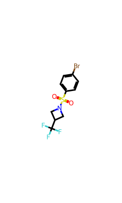 O=S(=O)(c1ccc(Br)cc1)N1CC(C(F)(F)F)C1